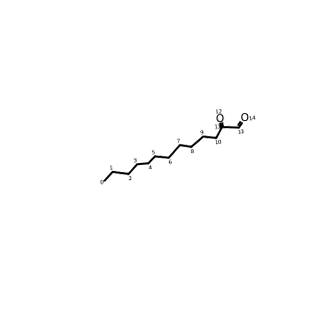 CCCCCCCCCCCC(=O)C=O